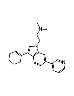 CN(C)CCn1cc(C2=CCCCC2)c2ccc(-c3cccnc3)cc21